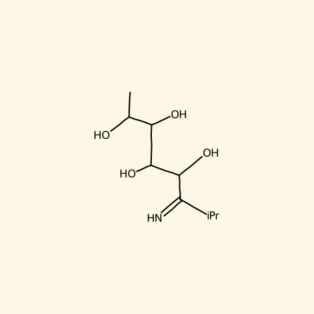 CC(C)C(=N)C(O)C(O)C(O)C(C)O